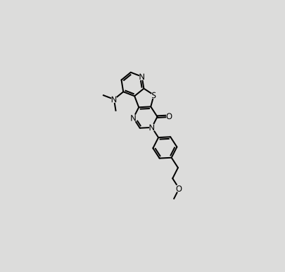 COCCc1ccc(-n2cnc3c(sc4nccc(N(C)C)c43)c2=O)cc1